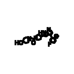 COc1ccc(F)cc1-c1ccnc2[nH]c(C3CCN(C(=O)CN4CCC(O)CC4)CC3)cc12